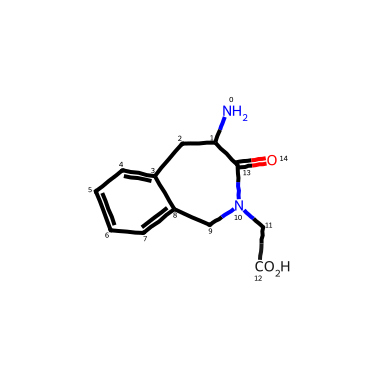 NC1Cc2ccccc2CN(CC(=O)O)C1=O